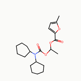 Cc1ccc(C(=O)OC(C)OC(=O)N(C2CCCCC2)C2CCCCC2)o1